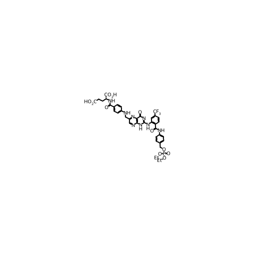 CCOP(=O)(OCC)OCc1ccc(NC(=O)c2ccc(C(F)(F)F)cc2Nc2nc(=O)c3nc(CNc4ccc(C(=O)N[C@@H](CCC(=O)O)C(=O)O)cc4)cnc3[nH]2)cc1